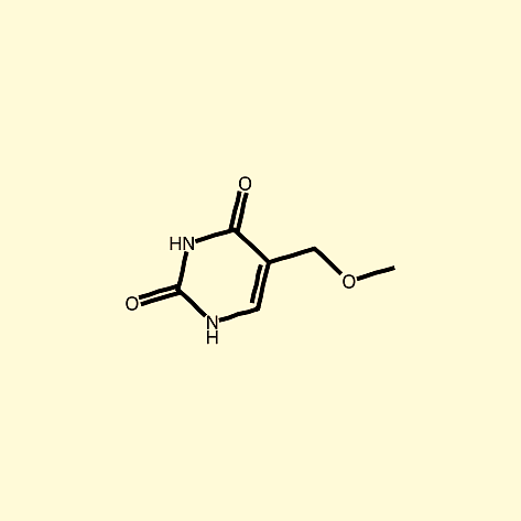 COCc1c[nH]c(=O)[nH]c1=O